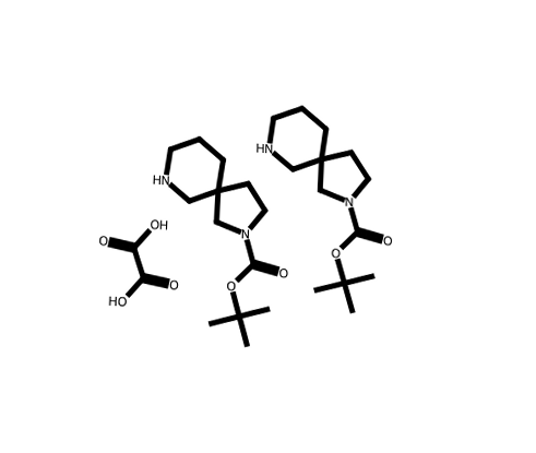 CC(C)(C)OC(=O)N1CCC2(CCCNC2)C1.CC(C)(C)OC(=O)N1CCC2(CCCNC2)C1.O=C(O)C(=O)O